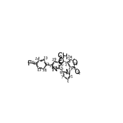 COC1=C(n2cccc2-c2nc(-c3ccc(F)cc3)cs2)C(=O)OC1